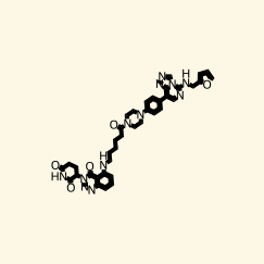 O=C1CCC(n2nnc3cccc(NCCCCCC(=O)N4CCN(c5ccc(-c6cnc(NCc7ccco7)n7cnnc67)cc5)CC4)c3c2=O)C(=O)N1